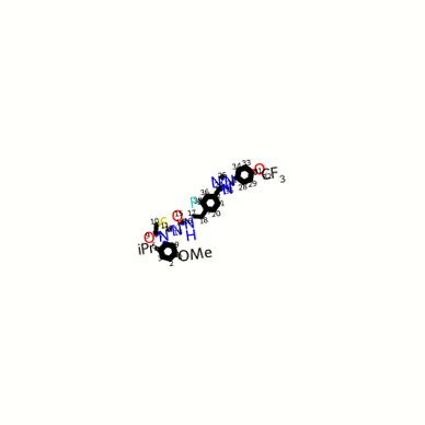 COc1ccc(C(C)C)c(N2C(=O)CS/C2=N\C(=O)NCCc2ccc(-c3ncn(-c4ccc(OC(F)(F)F)cc4)n3)cc2F)c1